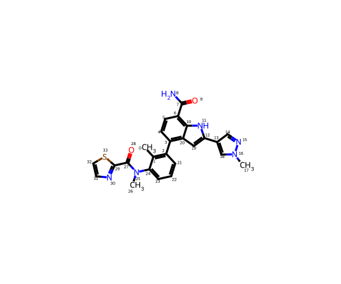 Cc1c(-c2ccc(C(N)=O)c3[nH]c(-c4cnn(C)c4)cc23)cccc1N(C)C(=O)c1nccs1